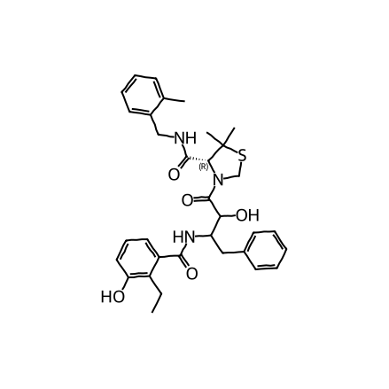 CCc1c(O)cccc1C(=O)NC(Cc1ccccc1)C(O)C(=O)N1CSC(C)(C)[C@H]1C(=O)NCc1ccccc1C